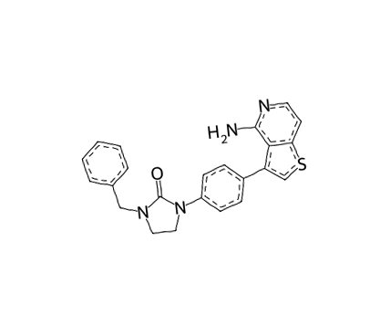 Nc1nccc2scc(-c3ccc(N4CCN(Cc5ccccc5)C4=O)cc3)c12